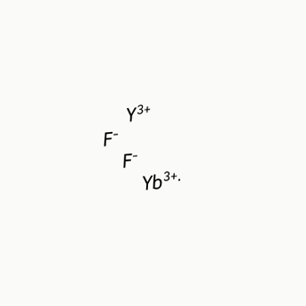 [F-].[F-].[Y+3].[Yb+3]